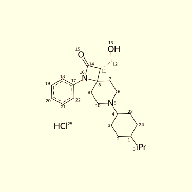 CC(C)C1CCC(N2CCC3(CC2)[C@@H](CO)C(=O)N3c2ccccc2)CC1.Cl